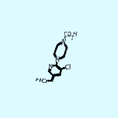 O=C(O)N1CCN(c2ncc(CO)cc2Cl)CC1